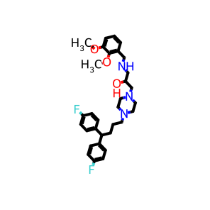 COc1cccc(CNCC(O)CN2CCN(CCCC(c3ccc(F)cc3)c3ccc(F)cc3)CC2)c1OC